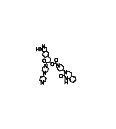 O=C(OC(Cc1ccc2[nH]ncc2c1)C(=O)N1CCN(c2ccncc2)CC1)N1CCC(N2CCc3ccccc3NC2=O)CC1